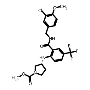 COC(=O)N1CC[C@@H](Nc2ccc(C(F)(F)F)cc2C(=O)NCc2ccc(OC)c(Cl)c2)C1